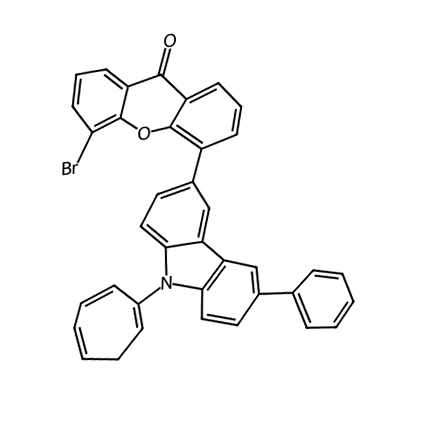 O=c1c2cccc(Br)c2oc2c(-c3ccc4c(c3)c3cc(-c5ccccc5)ccc3n4C3=CCC=CC=C3)cccc12